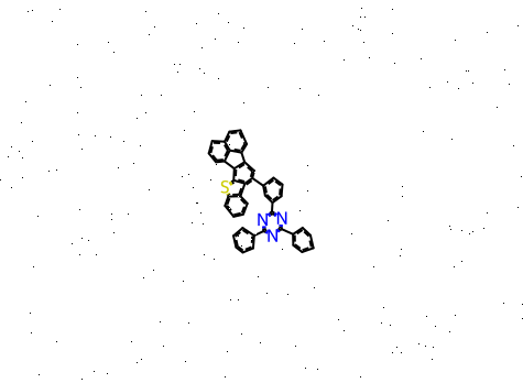 c1ccc(-c2nc(-c3ccccc3)nc(-c3cccc(-c4cc5c(c6sc7ccccc7c46)-c4cccc6cccc-5c46)c3)n2)cc1